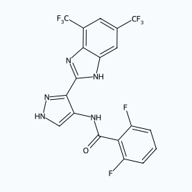 O=C(Nc1c[nH]nc1-c1nc2c(C(F)(F)F)cc(C(F)(F)F)cc2[nH]1)c1c(F)cccc1F